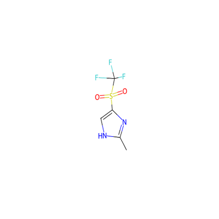 Cc1nc(S(=O)(=O)C(F)(F)F)c[nH]1